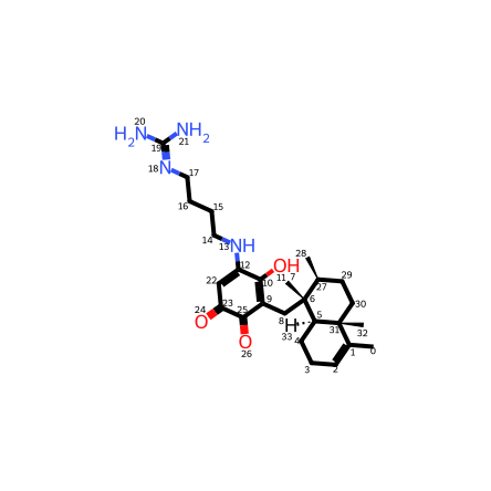 CC1=CCC[C@H]2[C@](C)(CC3=C(O)C(NCCCCN=C(N)N)=CC(=O)C3=O)[C@@H](C)CC[C@]12C